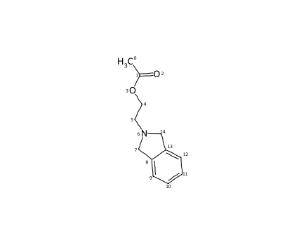 CC(=O)OCCN1Cc2ccccc2C1